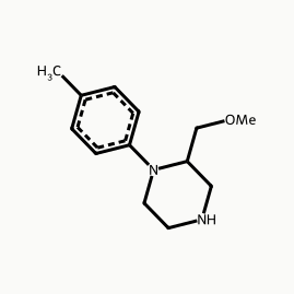 COCC1CNCCN1c1ccc(C)cc1